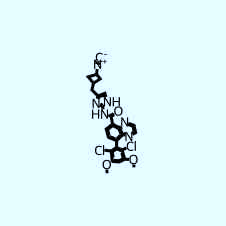 [C-]#[N+]C1CC(Cc2c[nH]c(NC(=O)c3ccc(-c4c(Cl)c(OC)cc(OC)c4Cl)c4nccnc34)n2)C1